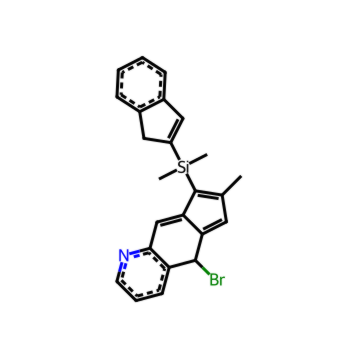 CC1=C([Si](C)(C)C2=Cc3ccccc3C2)C2=Cc3ncccc3C(Br)C2=C1